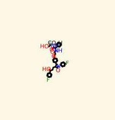 O=C(COc1ccc(C2C(CCC(O)c3ccc(F)cc3)C(=O)N2c2ccc(F)cc2)cc1)N[C@@H](C(=O)N[C@@H](CO)C(=O)O)c1ccccc1